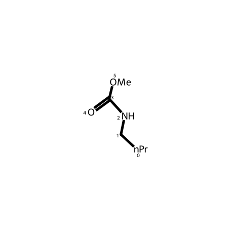 [CH2]CCCNC(=O)OC